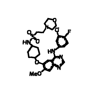 COc1cc2ncnc(Nc3ccc(F)c(Cl)c3)c2cc1OC1CCC(NS(=O)(=O)CCN2CCOCC2)CC1